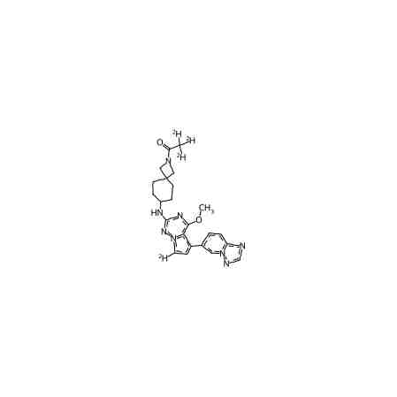 [2H]c1cc(-c2ccc3ncnn3c2)c2c(OC)nc(NC3CCC4(CC3)CN(C(=O)C([2H])([2H])[2H])C4)nn12